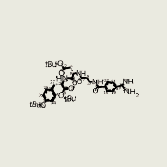 CC(C)(C)OC(=O)C[C@H](NC(=O)CCNC(=O)c1ccc(C(=N)N)cc1)C(=O)N[C@@H](Cc1ccc(OC(C)(C)C)cc1)C(=O)OC(C)(C)C